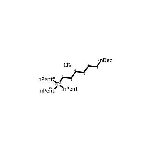 CCCCCCCCCCCCCCCC[P+](CCCCC)(CCCCC)CCCCC.[Cl-]